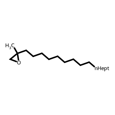 CCCCCCCCCCCCCCCCC1(C)CO1